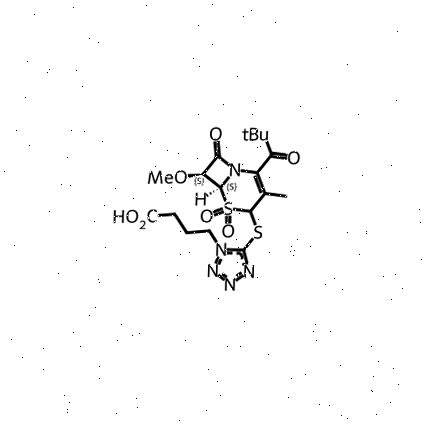 CO[C@H]1C(=O)N2C(C(=O)C(C)(C)C)=C(C)C(Sc3nnnn3CCCC(=O)O)S(=O)(=O)[C@@H]12